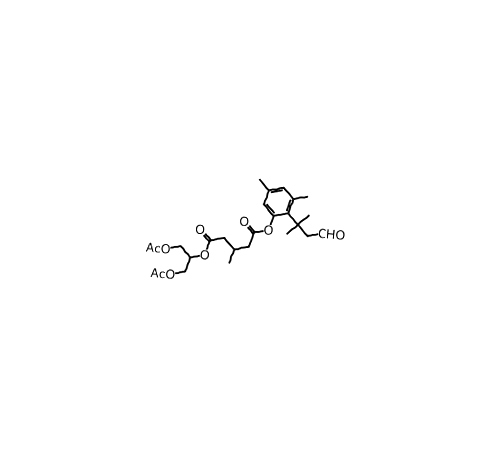 CC(=O)OCC(COC(C)=O)OC(=O)CC(C)CC(=O)Oc1cc(C)cc(C)c1C(C)(C)CC=O